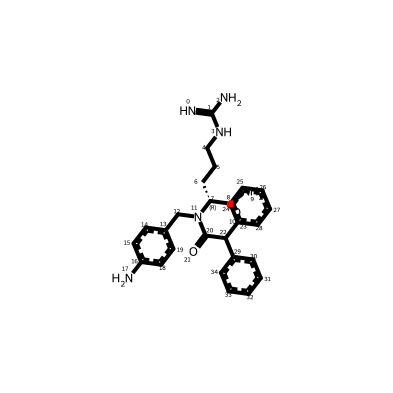 N=C(N)NCCC[C@H](C(N)=O)N(Cc1ccc(N)cc1)C(=O)C(c1ccccc1)c1ccccc1